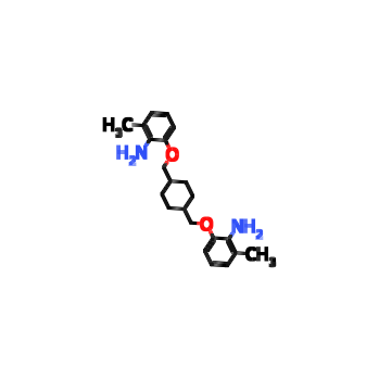 Cc1cccc(OCC2CCC(COc3cccc(C)c3N)CC2)c1N